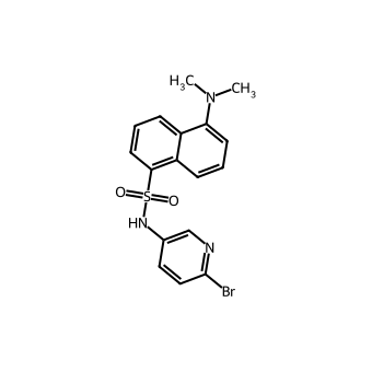 CN(C)c1cccc2c(S(=O)(=O)Nc3ccc(Br)nc3)cccc12